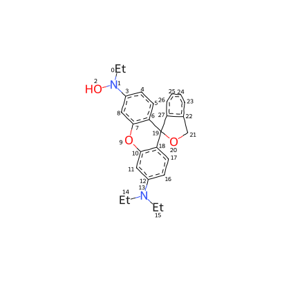 CCN(O)c1ccc2c(c1)Oc1cc(N(CC)CC)ccc1C21OCc2ccccc21